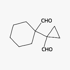 O=CC1(C2(C=O)CC2)CCCCC1